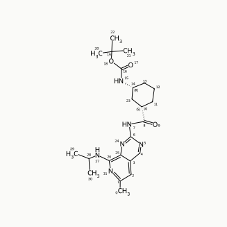 Cc1cc2cnc(NC(=O)[C@H]3CCC[C@@H](NC(=O)OC(C)(C)C)C3)nc2c(NC(C)C)n1